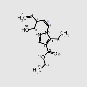 C=CC(/C=C\n1ncc(C(=O)OCC)c1CC)CO